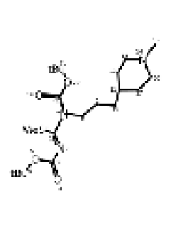 CSC(=NC(=O)OC(C)(C)C)N(CCCC1CCN(C)CC1)C(=O)OC(C)(C)C